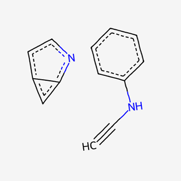 C#CNc1ccccc1.c1cc2cc-2n1